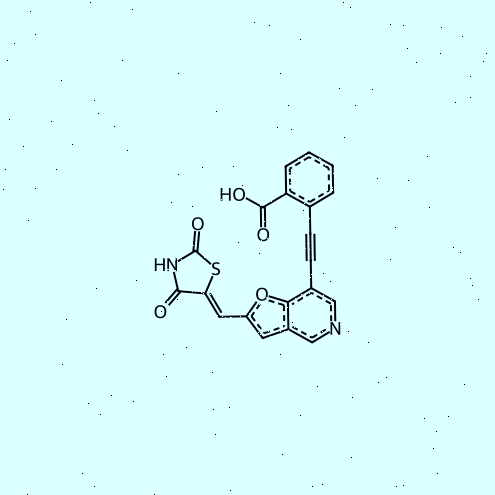 O=C1NC(=O)C(=Cc2cc3cncc(C#Cc4ccccc4C(=O)O)c3o2)S1